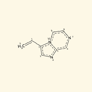 C=Cc1cnc2cnccn12